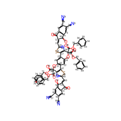 N#Cc1cc2c(cc1C#N)C(=O)C(=Cc1nc3c(s1)-c1cc4c(cc1OC3(C(=O)OCc1ccccc1)C(=O)OCc1ccccc1)-c1sc(C=C3C(=O)c5cc(C#N)c(C#N)cc5C3=O)nc1C(C(=O)OCc1ccccc1)(C(=O)OCc1ccccc1)O4)C2=O